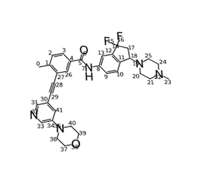 Cc1ccc(C(=O)Nc2ccc3c(c2)C(F)(F)CC3N2CCN(C)CC2)cc1C#Cc1cncc(N2CCOCC2)c1